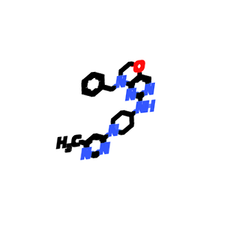 Cc1cc(N2CCC(Nc3ncc4c(n3)N(Cc3ccccc3)CCO4)CC2)ncn1